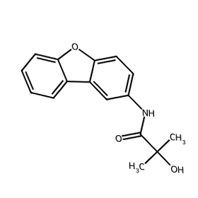 CC(C)(O)C(=O)Nc1ccc2oc3ccccc3c2c1